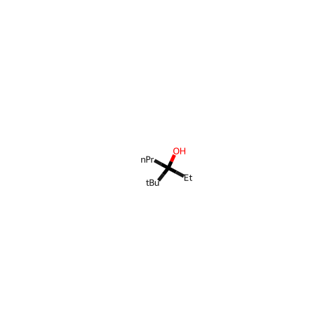 CCCC(O)(CC)C(C)(C)C